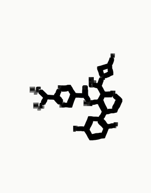 CC(C)c1ncc(C(=O)Nc2c(-c3cc(F)ccc3F)ccnc2C(C)N2CC(F)C2)cn1